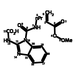 C=CC(=O)OOC.CCCNC(=O)n1c(NC(=O)O)nc2ccccc21